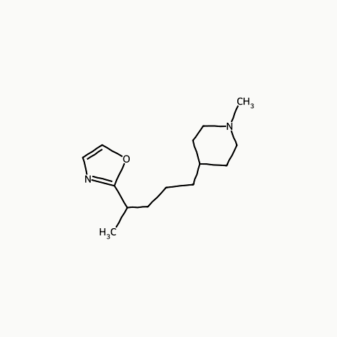 CC(CCCC1CCN(C)CC1)c1ncco1